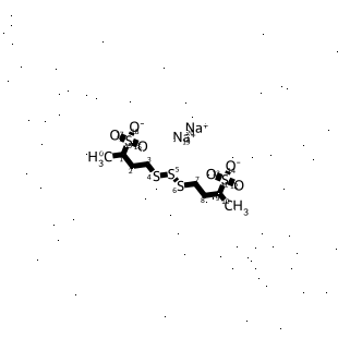 CC(CCSSSCCC(C)S(=O)(=O)[O-])S(=O)(=O)[O-].[Na+].[Na+]